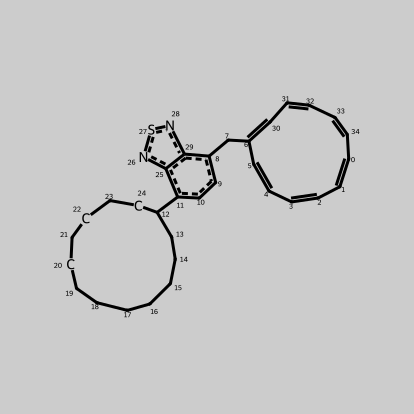 C1=C\C=C/C=C\C(Cc2ccc(C3CCCCCCCCCCCC3)c3nsnc23)=C/C=C\C=C/1